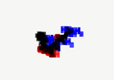 N=C(N)NCCC[C@@H](N)C(=O)NCC(=O)N[C@@H](CC(=O)O)C(=O)N[C@@H](Cc1c[nH]c2ccccc12)C(=O)O